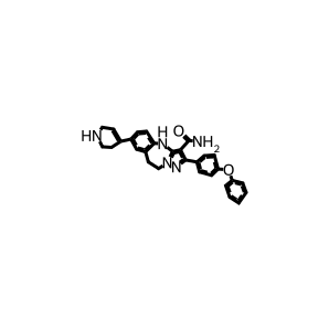 NC(=O)c1c(-c2ccc(Oc3ccccc3)cc2)nn2c1Nc1ccc(C3=CCNCC3)cc1CC2